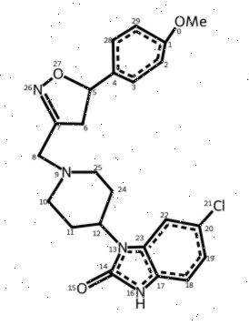 COc1ccc(C2CC(CN3CCC(n4c(=O)[nH]c5ccc(Cl)cc54)CC3)=NO2)cc1